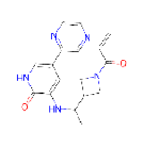 C=CC(=O)N1CC(C(C)Nc2cc(-c3cnccn3)c[nH]c2=O)C1